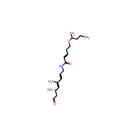 CCCC(C)OCC/C=C/C(=O)NC/C=C/C(C)=C/[C@@H](O)CC=O